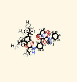 CCC(Oc1ccc(C(C)(C)CC)cc1C(C)(C)CC)C(=O)Nc1cccc(C(=O)C(OC)(C(=O)Nc2ccccc2)N2C(=O)CCC2=O)c1